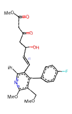 COCc1c(OC)nc(C(C)C)c(/C=C/C(O)CC(=O)CC(=O)OC)c1-c1ccc(F)cc1